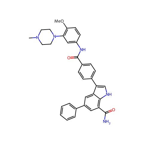 COc1ccc(NC(=O)c2ccc(-c3c[nH]c4c(C(N)=O)cc(-c5ccccc5)cc34)cc2)cc1N1CCN(C)CC1